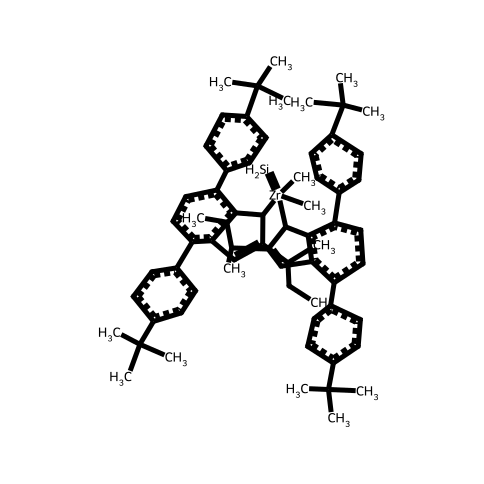 CCC(C)C1=Cc2c(-c3ccc(C(C)(C)C)cc3)ccc(-c3ccc(C(C)(C)C)cc3)c2[CH]1[Zr]([CH3])([CH3])(=[SiH2])[CH]1C(C(C)CC)=Cc2c(-c3ccc(C(C)(C)C)cc3)ccc(-c3ccc(C(C)(C)C)cc3)c21